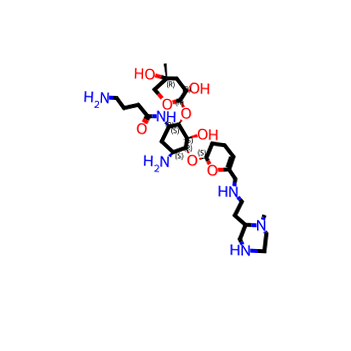 CN1CCNCC1CCNCC1=CCC[C@@H](O[C@H]2[C@H](O)[C@@H](O[C@H]3OC[C@](C)(O)C[C@H]3O)[C@H](NC(=O)CCCN)C[C@@H]2N)O1